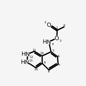 CC(=O)ONc1cccc2c1=CNNC=2